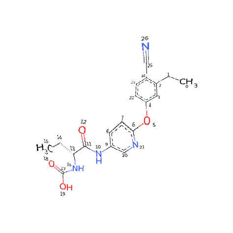 CCc1cc(Oc2ccc(NC(=O)[C@@H](CC)NC(=O)O)cn2)ccc1C#N